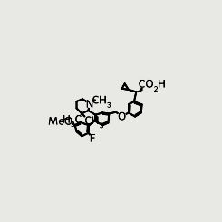 COc1ccc(F)c(-c2ccc(COc3cccc([C@H](CC(=O)O)C4CC4)c3)cc2C2N(C)CCCC2(C)C)c1